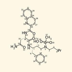 CC(C)CCN(C[C@@H](O)[C@H](Cc1ccccc1)NC(=O)[C@H](CC(N)=O)NC(=O)c1ccc2ccccc2n1)S(C)(=O)=O